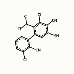 N#Cc1c(Cl)cccc1-c1cc(S)c(C#N)c(Cl)c1C(Cl)Cl